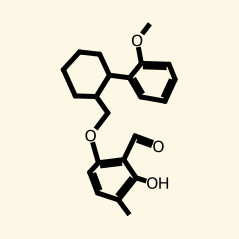 COc1ccccc1C1CCCCC1COc1ccc(C)c(O)c1C=O